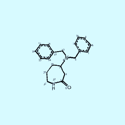 O=C1CC(N(Cc2ccccc2)Cc2ccccc2)CCCN1